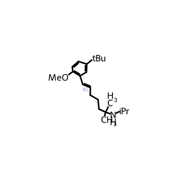 COc1ccc(C(C)(C)C)cc1/C=C/CCCC(C)(C)NC(C)C